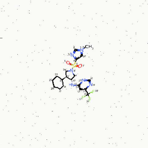 Cn1cnc(S(=O)(=O)N2C[C@H](Nc3cc(C(F)(F)F)ncn3)[C@@H](C3CCCCC3)C2)c1